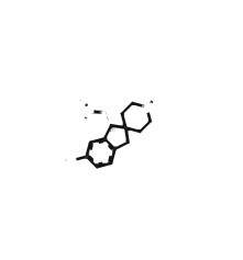 CC(=O)c1ccc2c(c1)[C@@H](N[S+]([O-])C(C)(C)C)C1(CCN(C(=O)O)CC1)C2